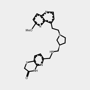 COc1ccc2nccc(CCN3CC[C@@H](CNCc4ccc5c(n4)NC(=O)CS5)C3)c2n1